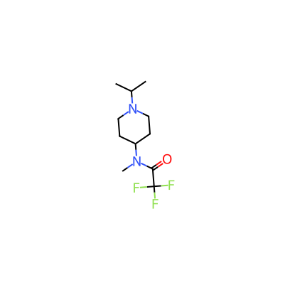 CC(C)N1CCC(N(C)C(=O)C(F)(F)F)CC1